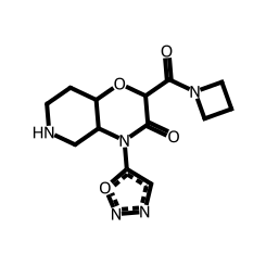 O=C(C1OC2CCNCC2N(c2cnno2)C1=O)N1CCC1